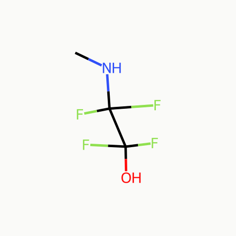 CNC(F)(F)C(O)(F)F